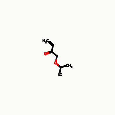 C=CC(=O)COC(C)CC